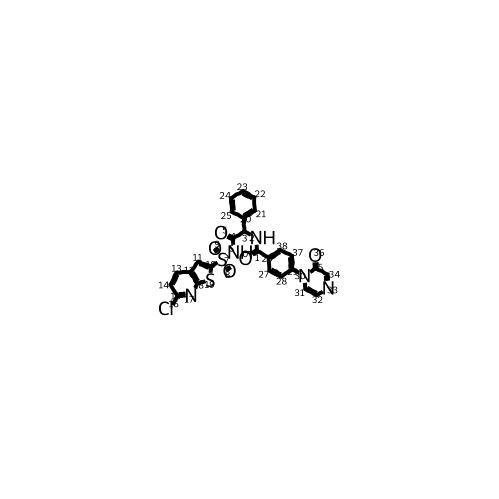 O=C(NC(C(=O)NS(=O)(=O)c1cc2ccc(Cl)nc2s1)c1ccccc1)c1ccc(-n2ccncc2=O)cc1